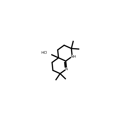 CC1(C)CCC2(C)CCC(C)(C)NC2=N1.Cl